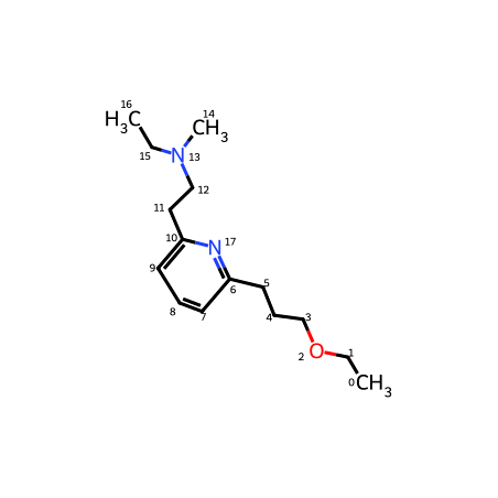 CCOCCCc1cccc(CCN(C)CC)n1